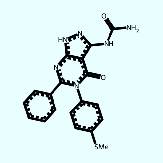 CSc1ccc(-n2c(-c3ccccc3)nc3[nH]nc(NC(N)=O)c3c2=O)cc1